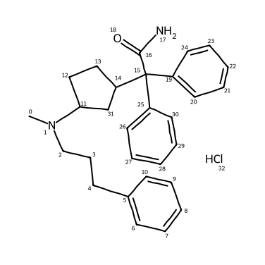 CN(CCCc1ccccc1)C1CCC(C(C(N)=O)(c2ccccc2)c2ccccc2)C1.Cl